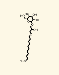 CCCCCCCCCCCCCCCCCCCCOCC(O)CO[C@H]1O[C@H](CO)[C@H](O)[C@H](O)[C@H]1O